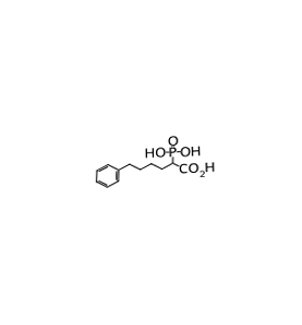 O=C(O)C(CCCCc1ccccc1)P(=O)(O)O